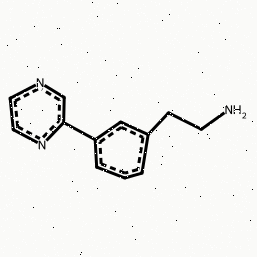 NCCc1cccc(-c2cnccn2)c1